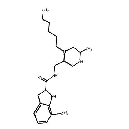 CCCCCCN1CC(C)NCC1CNC(=O)C1Cc2cccc(C)c2N1